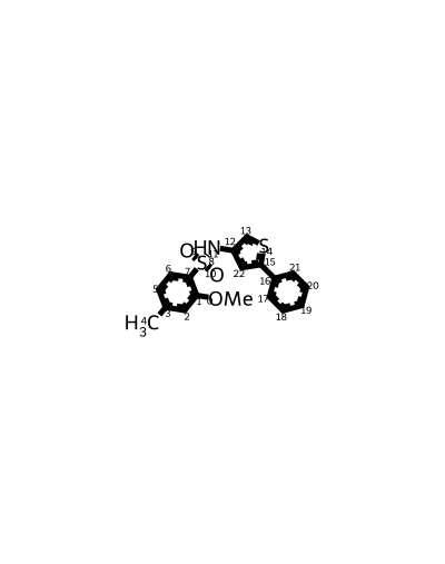 COc1cc(C)ccc1S(=O)(=O)Nc1csc(-c2ccccc2)c1